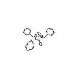 O=C1C[N+]2(C(c3ccccc3)c3ccccc3)CC(C2)N1Cc1ccccc1